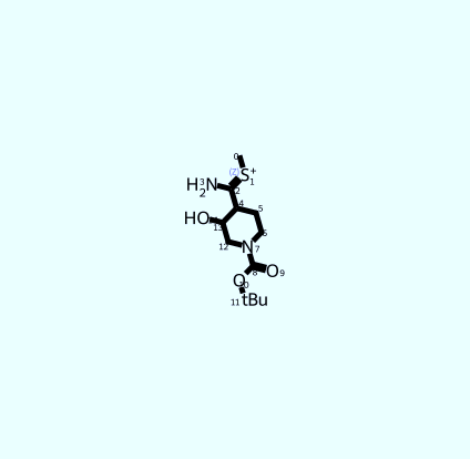 C/[S+]=C(\N)C1CCN(C(=O)OC(C)(C)C)CC1O